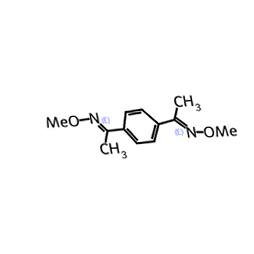 CO/N=C(\C)c1ccc(/C(C)=N/OC)cc1